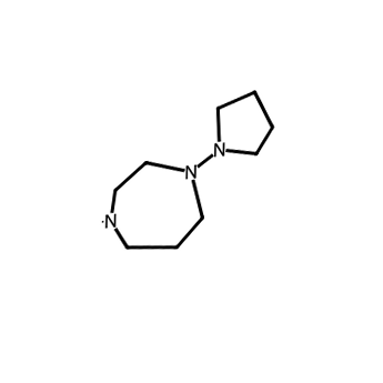 C1CCN(N2CCC[N]CC2)C1